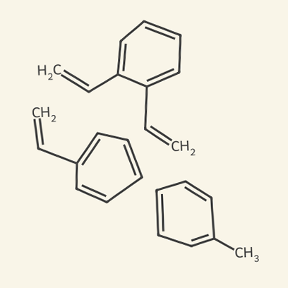 C=Cc1ccccc1.C=Cc1ccccc1C=C.Cc1ccccc1